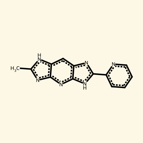 Cc1nc2nc3[nH]c(-c4ccccn4)nc3cc2[nH]1